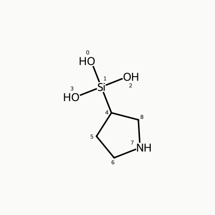 O[Si](O)(O)C1CCNC1